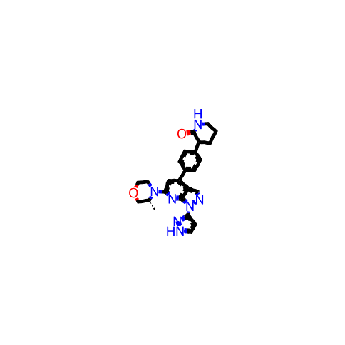 C[C@@H]1COCCN1c1cc(-c2ccc(C3CCCNC3=O)cc2)c2cnn(-c3cc[nH]n3)c2n1